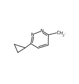 [CH2]c1ccc(C2CC2)nn1